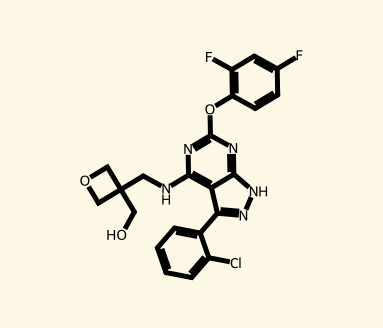 OCC1(CNc2nc(Oc3ccc(F)cc3F)nc3[nH]nc(-c4ccccc4Cl)c23)COC1